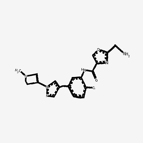 CN1CC(n2cc(-c3ccc(Cl)c(NC(=O)c4coc(CN)n4)c3)cn2)C1